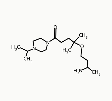 CC(N)CCOC(C)(C)CCC(=O)N1CCN(C(C)C)CC1